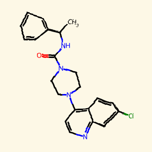 CC(NC(=O)N1CCN(c2ccnc3cc(Cl)ccc23)CC1)c1ccccc1